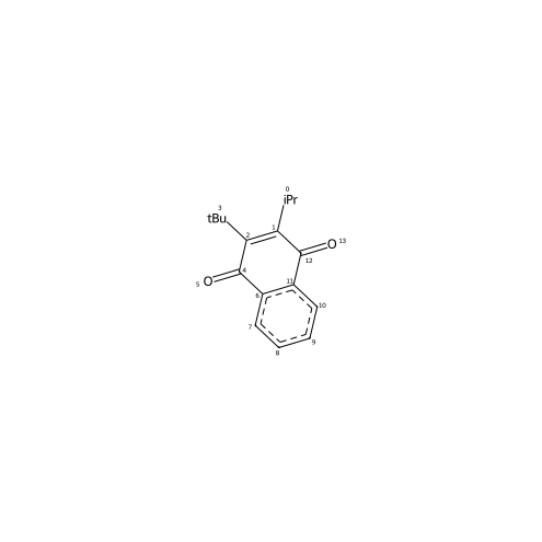 CC(C)C1=C(C(C)(C)C)C(=O)c2ccccc2C1=O